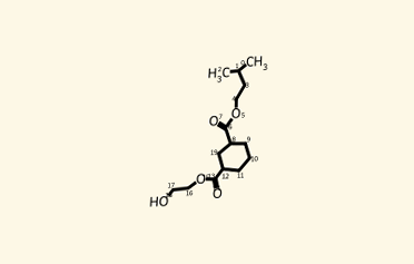 CC(C)CCOC(=O)C1CCCC(C(=O)OCCO)C1